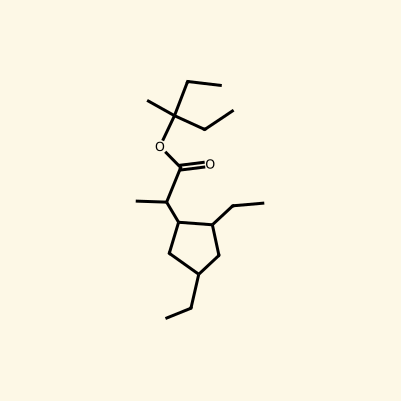 CCC1CC(CC)C(C(C)C(=O)OC(C)(CC)CC)C1